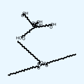 CCCCCCCCCCCCCCCCCCCCCC(=O)OCC(COC(=O)CCCCCCCCCCCCCCCCCCCCC)OC(=O)CCCCCCCCCCCCCCCCCCCCC.O=C(O)CCCCCCCCCCC(CCCCCCCCCCC(=O)O)(CCCCCCCCCCC(=O)O)C(CO)(CO)CCO